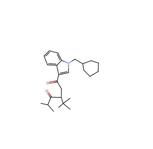 CC(C)C(=O)C(CC(=O)c1cn(CC2CCCCC2)c2ccccc12)C(C)(C)C